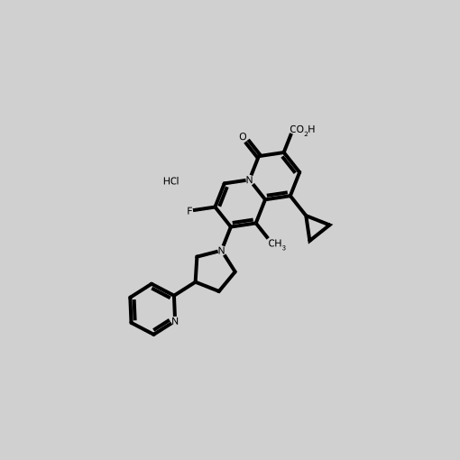 Cc1c(N2CCC(c3ccccn3)C2)c(F)cn2c(=O)c(C(=O)O)cc(C3CC3)c12.Cl